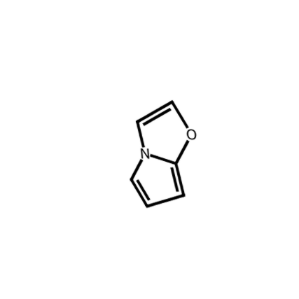 c1cc2occn2c1